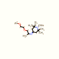 CON1C(C)(C)CC(=NC(C)COCCOC(C)C)CC1(C)C